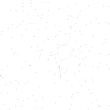 C=Cc1ccc(C2CC2)c(OCC)c1